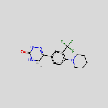 C[C@@H]1NC(=O)NN=C1c1ccc(N2CCCCC2)c(C(F)(F)F)c1